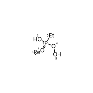 CCP(=O)(O)OO.[Re]